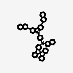 c1ccc2c(c1)-c1ccccc1C21c2ccccc2-c2ccc(N(c3ccc(-n4c5ccc(-c6ccc7ccccc7c6)cc5c5cc(-c6ccc7ccccc7c6)ccc54)cc3)c3ccc4ccccc4c3)cc21